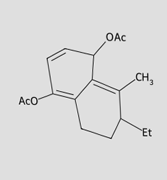 CCC1CCC2=C(OC(C)=O)C=CC(OC(C)=O)C2=C1C